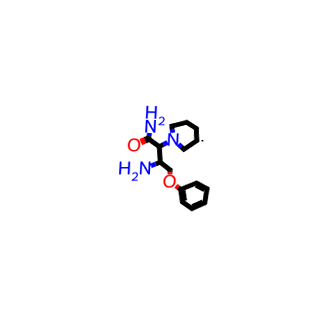 NC(=O)C(C(N)COc1ccccc1)N1C[CH]CCC1